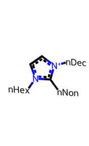 CCCCCCCCCC[n+]1ccn(CCCCCC)c1CCCCCCCCC